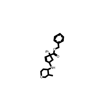 CC1COCCC1NC1C=CC(C(=O)OCc2ccccc2)(C(C)C)C1